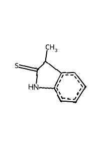 CC1C(=S)Nc2ccccc21